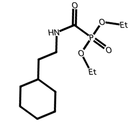 CCOP(=O)(OCC)C(=O)NCCC1CCCCC1